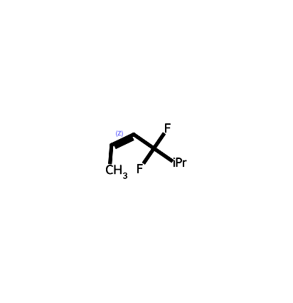 C/C=C\C(F)(F)C(C)C